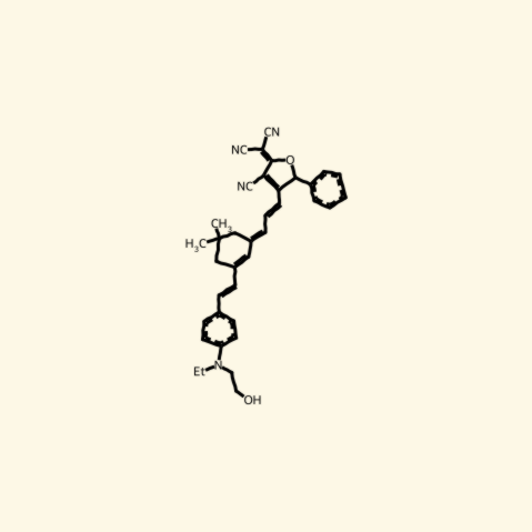 CCN(CCO)c1ccc(/C=C/C2=CC(=C/C=C/C3=C(C#N)C(=C(C#N)C#N)OC3c3ccccc3)/CC(C)(C)C2)cc1